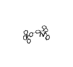 O=P(c1ccccc1)(c1ccccc1)c1ccc(-c2ccc3c(c2)nc(-c2ccccc2)c2ccc4ccccc4c23)cc1